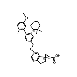 COc1ccc(F)c(-c2ccc(COc3ccc4c(c3)[C@]3(CC4)C[C@H]3C(=O)O)cc2[C@@H]2CCCCC2(C)C)c1